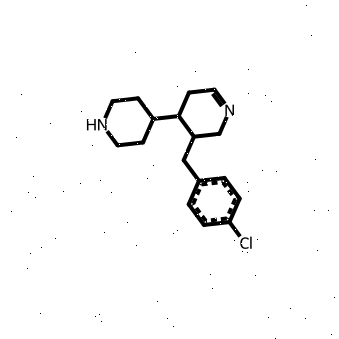 Clc1ccc(CC2CN=CCC2C2CCNCC2)cc1